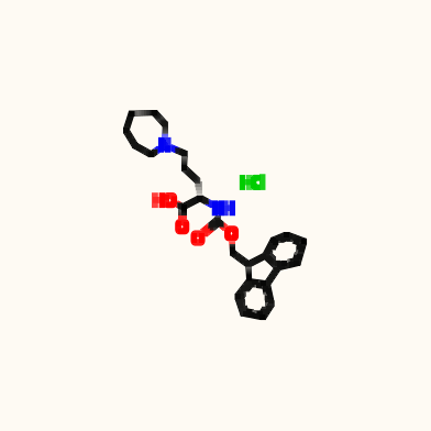 Cl.O=C(N[C@@H](CCCN1CCCCCC1)C(=O)O)OCC1c2ccccc2-c2ccccc21